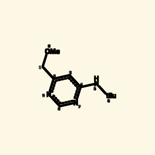 COCc1cc(NC(C)(C)C)ncn1